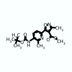 COC(=O)c1c(C)noc1-c1ccc(NC(=O)OC(C)(C)C)c(C)n1